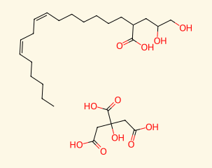 CCCCC/C=C\C/C=C\CCCCCCC(CC(O)CO)C(=O)O.O=C(O)CC(O)(CC(=O)O)C(=O)O